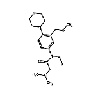 COCc1cc(N(CF)C(=O)CN(C)C)ccc1N1CCOCC1